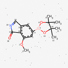 COc1cc(B2OC(C)(C)C(C)(C)O2)cc2c1C(=O)N=C2